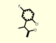 [CH2]C(C(=C)Cl)c1cc(F)ccc1Cl